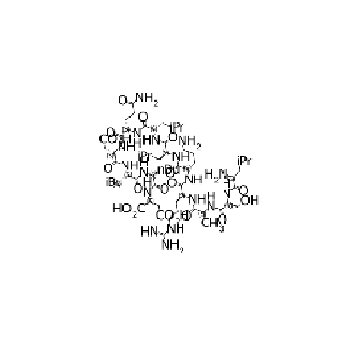 CCCC[C@H](NC(=O)[C@@H](NC(=O)[C@H](CC(=O)O)NC(=O)[C@H](CCC(N)=O)NC(=O)[C@H](CC(C)C)NC(=O)[C@H](CC(C)C)NC(=O)[C@H](CCCN)NC(=O)[C@H](CCCNC(=N)N)NC(=O)[C@H](C)NC(=O)[C@H](CO)NC(=O)[C@@H](N)CC(C)C)[C@@H](C)CC)C(=O)N[C@@H](CC(=O)O)C(=O)O